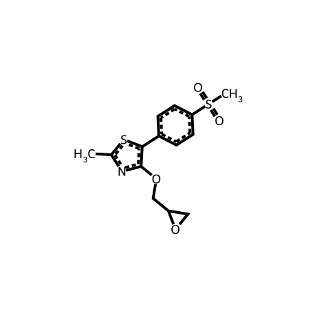 Cc1nc(OCC2CO2)c(-c2ccc(S(C)(=O)=O)cc2)s1